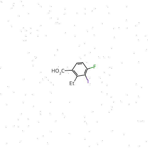 CCc1c(C(=O)O)ccc(F)c1I